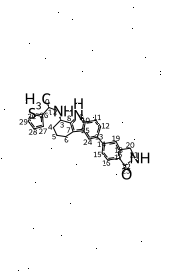 C[C@@H](N[C@@H]1CCCc2c1[nH]c1ccc(-c3ccc4c(c3)CNC4=O)cc21)c1cccs1